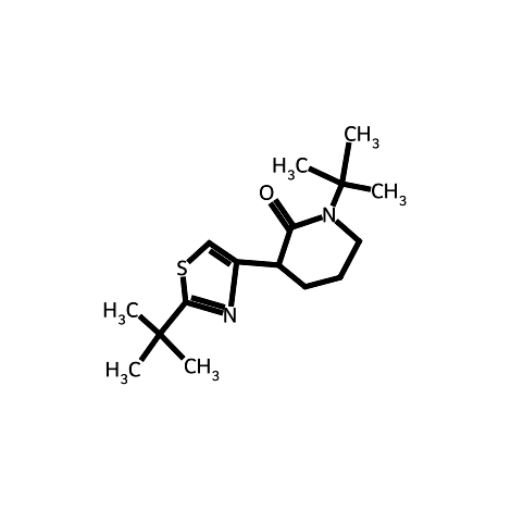 CC(C)(C)c1nc(C2CCCN(C(C)(C)C)C2=O)cs1